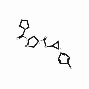 O=C(NC1C[C@@H]1c1ccc(Cl)cc1)[C@@H]1CN[C@H](C(=O)N2CCCC2)C1